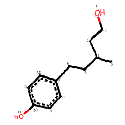 C[C](CCO)CCc1ccc(O)cc1